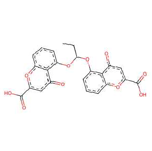 CCC(Oc1cccc2oc(C(=O)O)cc(=O)c12)Oc1cccc2oc(C(=O)O)cc(=O)c12